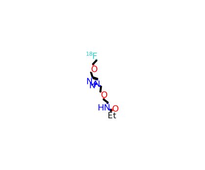 CCC(=O)NCCOCCn1cc(COCC[18F])nn1